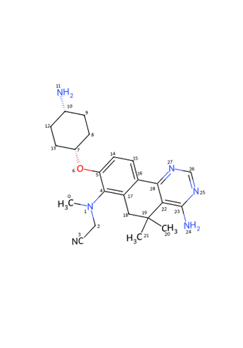 CN(CC#N)c1c(O[C@H]2CC[C@@H](N)CC2)ccc2c1CC(C)(C)c1c(N)ncnc1-2